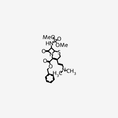 COP(=O)(NC1C(=O)N2C(C(=O)OCc3ccccc3)=C(C=CN(C)C)CSC12)OC